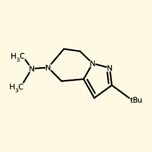 CN(C)N1CCn2nc(C(C)(C)C)cc2C1